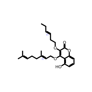 CC/C=C/CCOc1c(OC/C=C(\C)CCC=C(C)C)c2c(O)cccc2oc1=O